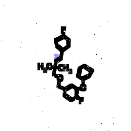 CC(C)(/C=C/c1ccc(F)cc1)COCc1ccc(F)c(Oc2ccccc2)c1